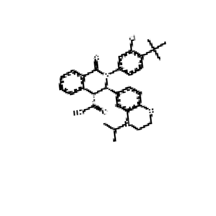 CC(C)N1CCOc2ccc([C@H]3[C@H](C(=O)O)c4ccccc4C(=O)N3c3ccc(C(C)(C)C)c(Cl)c3)cc21